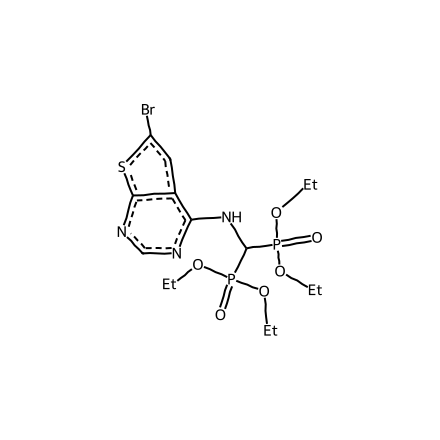 CCOP(=O)(OCC)C(Nc1ncnc2sc(Br)cc12)P(=O)(OCC)OCC